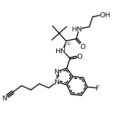 CC(C)(C)[C@H](NC(=O)c1nn(CCCCC#N)c2ccc(F)cc12)C(=O)NCCO